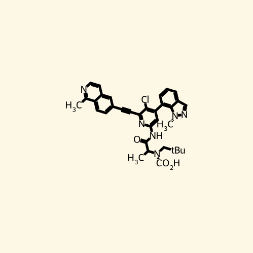 Cc1nccc2cc(C#Cc3nc(NC(=O)C(C)N(CC(C)(C)C)C(=O)O)cc(-c4cccc5cnn(C)c45)c3Cl)ccc12